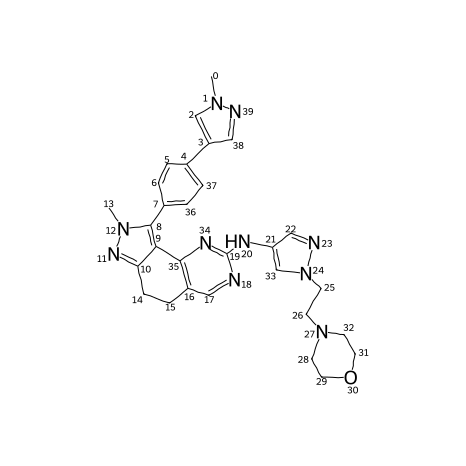 Cn1cc(-c2ccc(-c3c4c(nn3C)CCc3cnc(Nc5cnn(CCN6CCOCC6)c5)nc3-4)cc2)cn1